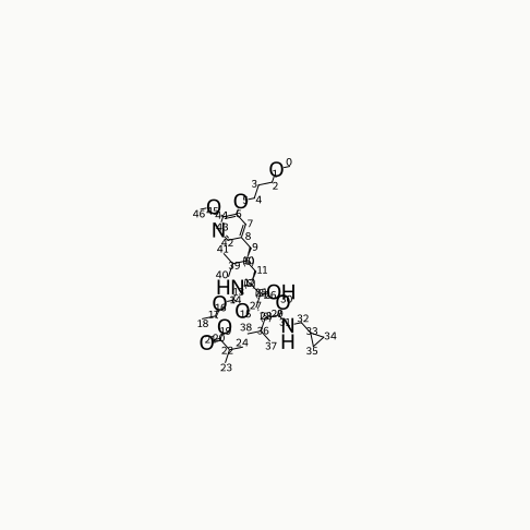 COCCCOc1cc(C[C@@H](C[C@H](NC(=O)OC(C)OC(=O)C(C)C)[C@@H](O)C[C@H](C(=O)NCC2CC2)C(C)C)C(C)C)cnc1OC